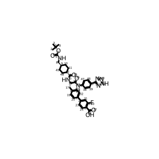 CC(C)(C)OC(=O)NC[C@H]1CC[C@H](C(=O)N[C@@H](Cc2ccc(-c3ccc(C(=O)O)c(F)c3)cc2)C(=O)Nc2ccc(-c3nn[nH]n3)cc2)CC1